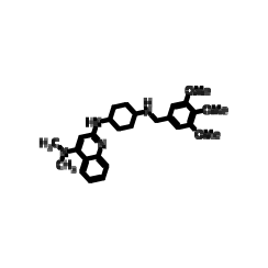 COc1cc(CNC2CCC(Nc3cc(N(C)C)c4ccccc4n3)CC2)cc(OC)c1OC